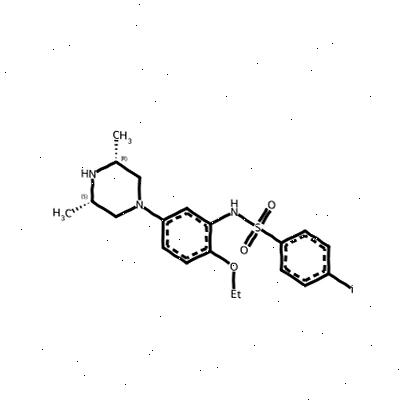 CCOc1ccc(N2C[C@@H](C)N[C@@H](C)C2)cc1NS(=O)(=O)c1ccc(I)cc1